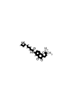 CC1(C)CCC2=C(O1)c1ccc(NC(=O)CCCC[C@@H]3CCSS3)cc1C(=O)C2=O